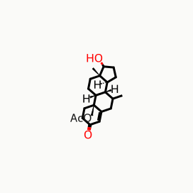 CC(=O)OC[C@]12CCC(=O)C=C1CC(C)[C@@H]1[C@H]2CC[C@]2(C)C(O)CC[C@@H]12